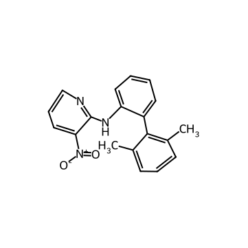 Cc1cccc(C)c1-c1ccccc1Nc1ncccc1[N+](=O)[O-]